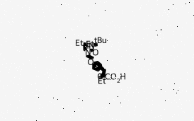 CCOC(Cc1ccc(OCCN(CC(CC)CC)C(=O)NCC(C)(C)C)cc1)C(=O)O